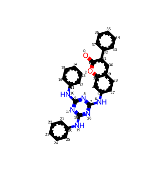 O=c1oc2cc(Nc3nc(Nc4ccccc4)nc(Nc4ccccc4)n3)ccc2cc1-c1ccccc1